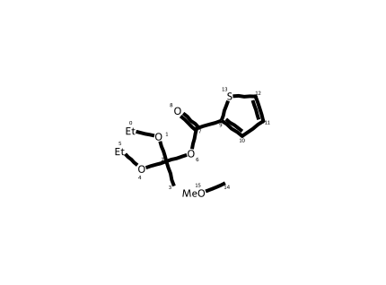 CCOC(C)(OCC)OC(=O)c1cccs1.COC